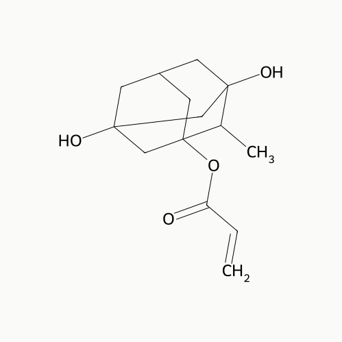 C=CC(=O)OC12CC3CC(O)(CC(O)(C3)C1C)C2